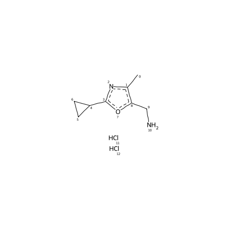 Cc1nc(C2CC2)oc1CN.Cl.Cl